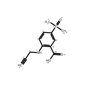 C#CCNc1ccc(P(C)(C)=O)cc1C(=O)O